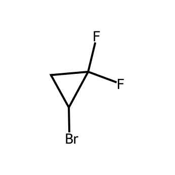 FC1(F)CC1Br